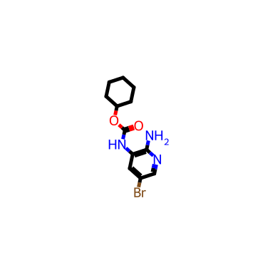 Nc1ncc(Br)cc1NC(=O)OC1CCCCC1